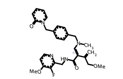 C=C(COC)/C(=C\N(C)Cc1ccc(Cn2ccccc2=O)cc1)C(=O)NCc1nccc(OC)c1F